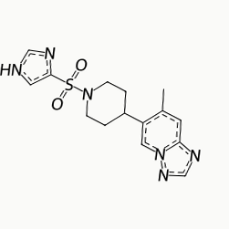 Cc1cc2ncnn2cc1C1CCN(S(=O)(=O)c2c[nH]cn2)CC1